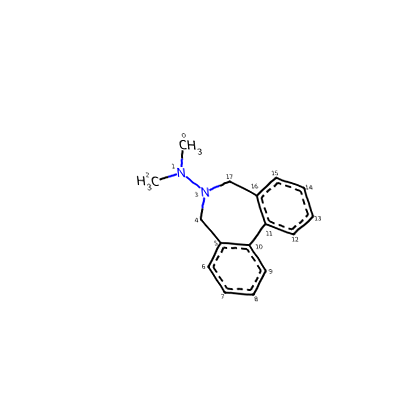 CN(C)N1Cc2ccccc2-c2ccccc2C1